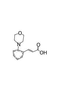 O=C(O)C=Cc1ccccc1N1CCOCC1